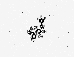 CO[C@@H]1[C@@H](n2cc(-c3cc(F)c(F)c(F)c3)nn2)[C@@H](O)[C@@H](CO)O[C@H]1S[C@H](c1c(C)cnn1C)C1(O)CCC(F)(F)CC1